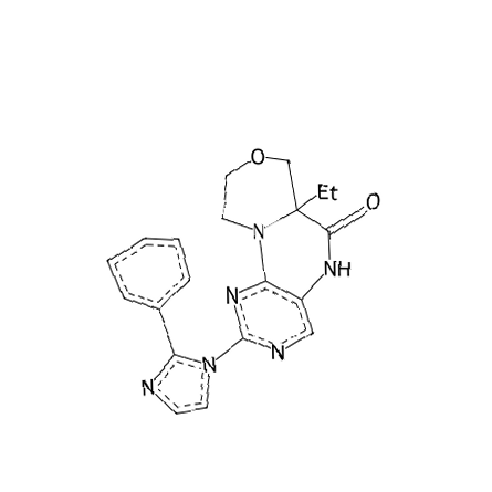 CCC12COCCN1c1nc(-n3ccnc3-c3ccccc3)ncc1NC2=O